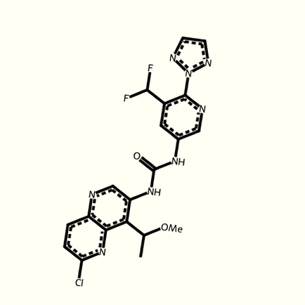 COC(C)c1c(NC(=O)Nc2cnc(-n3nccn3)c(C(F)F)c2)cnc2ccc(Cl)nc12